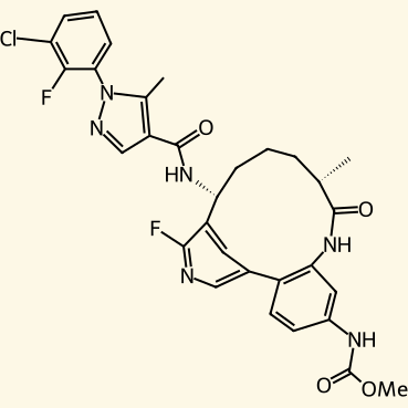 COC(=O)Nc1ccc2c(c1)NC(=O)[C@@H](C)CCC[C@@H](NC(=O)c1cnn(-c3cccc(Cl)c3F)c1C)c1cc-2cnc1F